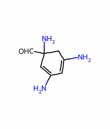 NC1=CC(N)(C=O)CC(N)=C1